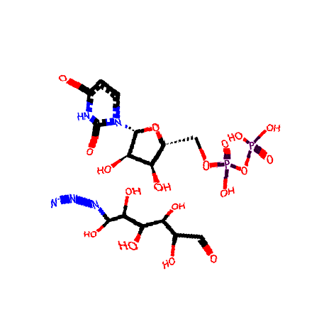 O=c1ccn([C@@H]2O[C@H](COP(=O)(O)OP(=O)(O)O)[C@@H](O)[C@H]2O)c(=O)[nH]1.[N-]=[N+]=NC(O)C(O)C(O)C(O)C(O)C=O